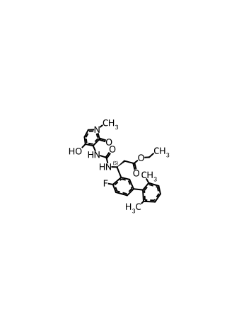 CCOC(=O)C[C@H](NC(=O)Nc1c(O)ccn(C)c1=O)c1cc(-c2c(C)cccc2C)ccc1F